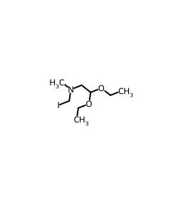 CCOC(CN(C)CI)OCC